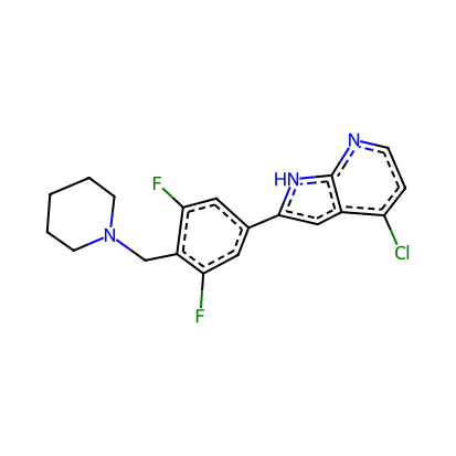 Fc1cc(-c2cc3c(Cl)ccnc3[nH]2)cc(F)c1CN1CCCCC1